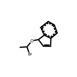 CC(Br)OC1C=Cc2ccc[c]c21